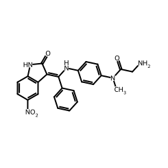 CN(C(=O)CN)c1ccc(N/C(=C2\C(=O)Nc3ccc([N+](=O)[O-])cc32)c2ccccc2)cc1